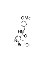 COc1ccc(CNC(=O)c2ccnc(Br)c2CCO)cc1